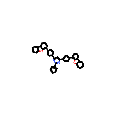 c1ccc(-c2nc(-c3ccc(-c4cccc5c4oc4ccccc45)cc3)cc(-c3ccc(-c4cccc5c4oc4ccccc45)cc3)n2)cc1